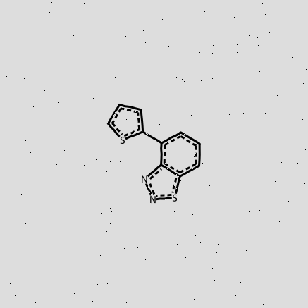 c1csc(-c2cccc3snnc23)c1